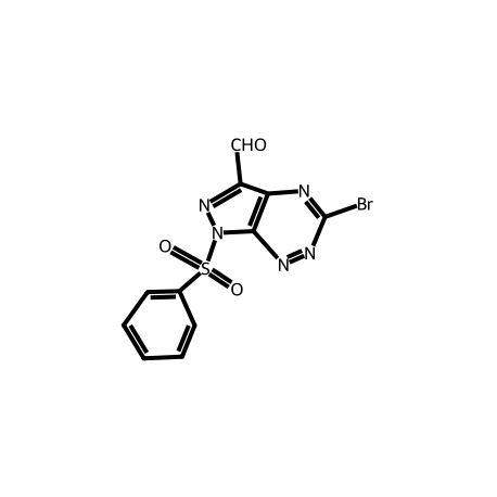 O=Cc1nn(S(=O)(=O)c2ccccc2)c2nnc(Br)nc12